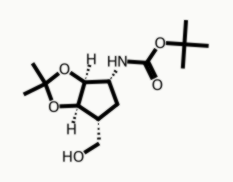 CC(C)(C)OC(=O)N[C@@H]1C[C@H](CO)[C@H]2OC(C)(C)O[C@H]21